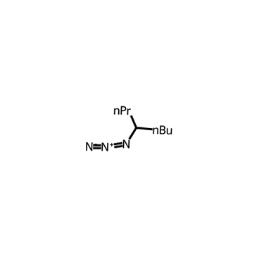 CCCCC(CCC)N=[N+]=[N-]